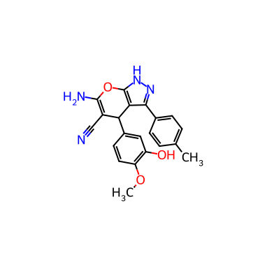 COc1ccc(C2C(C#N)=C(N)Oc3[nH]nc(-c4ccc(C)cc4)c32)cc1O